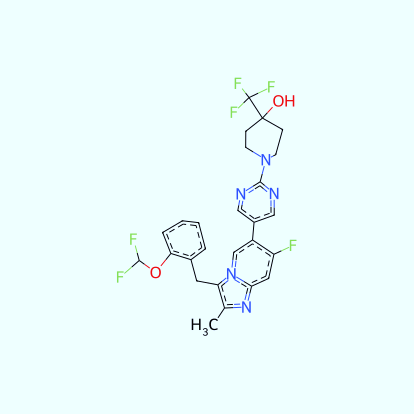 Cc1nc2cc(F)c(-c3cnc(N4CCC(O)(C(F)(F)F)CC4)nc3)cn2c1Cc1ccccc1OC(F)F